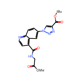 COC(=O)CNC(=O)c1ccnc2ccc(-n3cc(C(=O)OC(C)(C)C)nn3)cc12